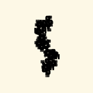 C=N/C(=C1\C(=C(/C)c2ccc3c(c2)S(=O)(=O)NC([C@@H]2CCCN2C(=O)[C@@H](NC(=O)OC)C(C)C)=N3)CCC12CCCC2)c1ccc(-c2cnc([C@@H]3CCCN3C(=O)[C@@H](NC(=O)OC)C(C)C)[nH]2)cc1